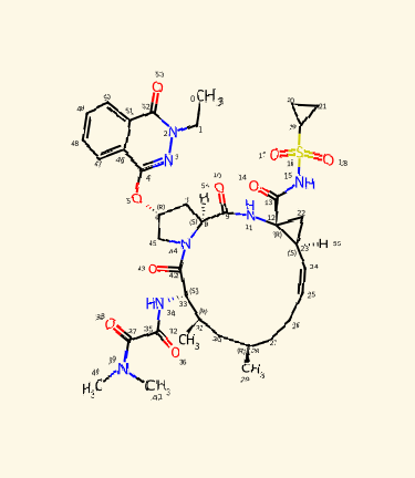 CCn1nc(O[C@@H]2C[C@H]3C(=O)N[C@]4(C(=O)NS(=O)(=O)C5CC5)C[C@H]4C=CCC[C@@H](C)C[C@@H](C)[C@H](NC(=O)C(=O)N(C)C)C(=O)N3C2)c2ccccc2c1=O